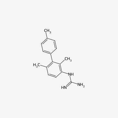 Cc1ccc(-c2c(C)ccc(NC(=N)N)c2C)cc1